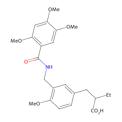 CCC(Cc1ccc(OC)c(CNC(=O)c2cc(OC)c(OC)cc2OC)c1)C(=O)O